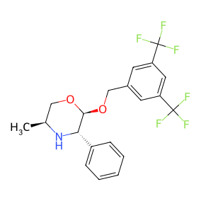 C[C@H]1CO[C@@H](OCc2cc(C(F)(F)F)cc(C(F)(F)F)c2)[C@H](c2ccccc2)N1